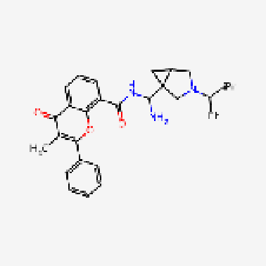 CCC(C(C)C)N1CC2CC2(C(N)NC(=O)c2cccc3c(=O)c(C)c(-c4ccccc4)oc23)C1